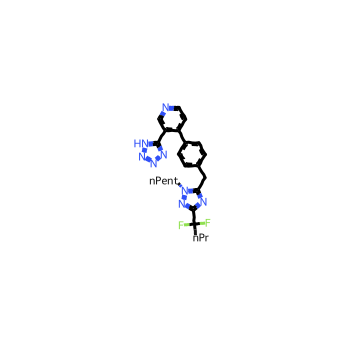 CCCCCn1nc(C(F)(F)CCC)nc1Cc1ccc(-c2ccncc2-c2nnn[nH]2)cc1